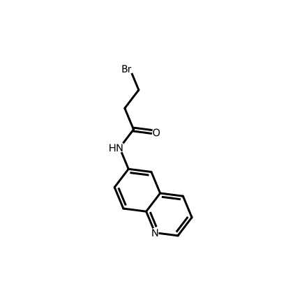 O=C(CCBr)Nc1ccc2ncccc2c1